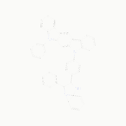 C1=CC2N3C(c4ccccc4)C(c4ccc(-n5c6ccccc6c6cc7c8ccccc8n(-c8ccccc8)c7cc65)cc4)NC23C=C1